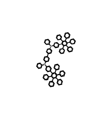 c1ccc(-c2c(-c3ccccc3)c(-c3ccccc3)c(-c3ccc(N(c4ccccc4)c4ccc(-c5ccc(N(c6ccccc6)c6ccc(-c7c(-c8ccccc8)c(-c8ccccc8)c(-c8ccccc8)c(-c8ccccc8)c7-c7ccccc7)cc6)cc5)cc4)cc3)c(-c3ccccc3)c2-c2ccccc2)cc1